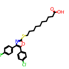 O=C(O)CCCCCCCCCSc1nc(-c2ccc(Cl)cc2)c(-c2ccc(Cl)cc2)o1